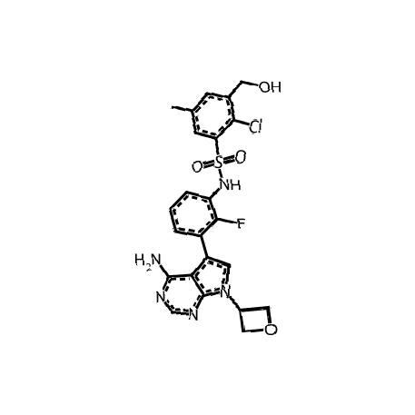 Cc1cc(CO)c(Cl)c(S(=O)(=O)Nc2cccc(-c3cn(C4COC4)c4ncnc(N)c34)c2F)c1